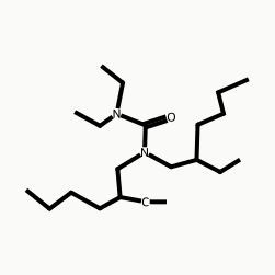 CCCCC(CC)CN(CC(CC)CCCC)C(=O)N(CC)CC